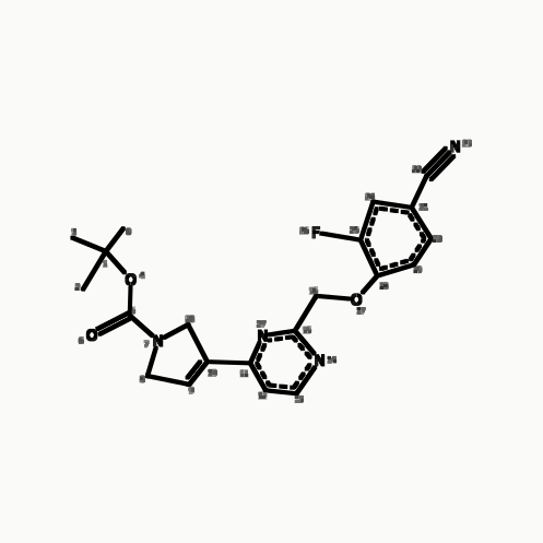 CC(C)(C)OC(=O)N1CC=C(c2ccnc(COc3ccc(C#N)cc3F)n2)C1